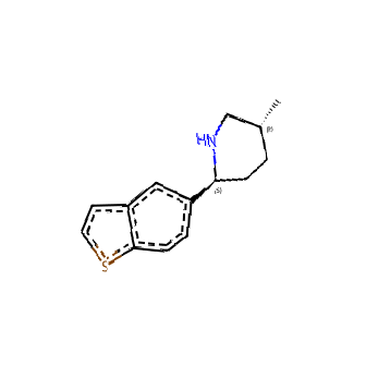 C[C@@H]1CC[C@@H](c2ccc3sccc3c2)NC1